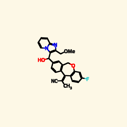 COCc1nc2ccccn2c1C(O)c1ccc2c(c1)COc1cc(F)ccc1/C2=C(\C)C#N